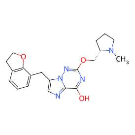 CN1CCC[C@H]1COc1nc(O)c2ncc(Cc3cccc4c3OCC4)n2n1